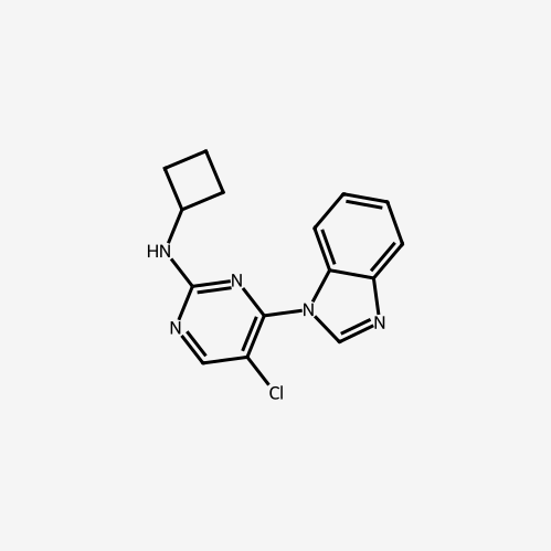 Clc1cnc(NC2CCC2)nc1-n1cnc2ccccc21